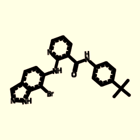 CC(C)(C)c1ccc(NC(=O)c2cccnc2Nc2ccc3cn[nH]c3c2Br)cc1